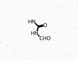 [NH]C(=O)NC=O